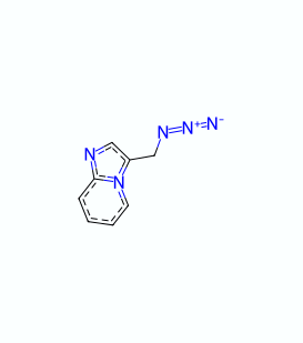 [N-]=[N+]=NCc1cnc2ccccn12